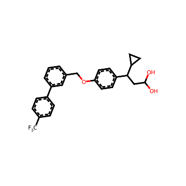 OC(O)CC(c1ccc(OCc2cccc(-c3ccc(C(F)(F)F)cc3)c2)cc1)C1CC1